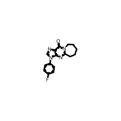 O=c1c2ncn(-c3ccc(F)cc3)c2nc2n1CCCCC2